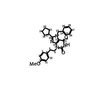 COc1ccc(CCn2c(=O)[nH]c(=O)c3c2nc(C2CCCC2)n3Cc2ccccc2)cc1